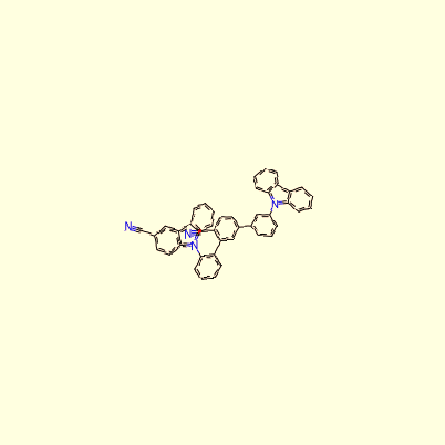 N#Cc1ccc2c(c1)c1ccccc1n2-c1ccccc1-c1cc(-c2cccc(-n3c4ccccc4c4ccccc43)c2)ccc1C#N